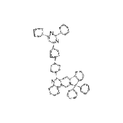 c1ccc(-c2cc(-c3ccc(-c4ccc(-c5nc6ccccc6c6cc7c(cc56)-c5ccccc5C7(c5ccccc5)c5ccccc5)cc4)cc3)nc(-c3ccccc3)n2)cc1